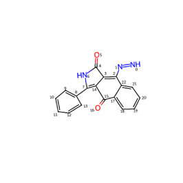 N=NC1=C2C(=O)NC(c3ccccc3)=C2C(=O)c2ccccc21